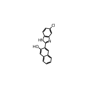 Oc1cc2ccccc2cc1-c1nc2cc(Cl)ccc2[nH]1